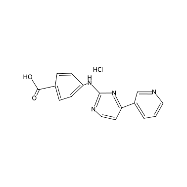 Cl.O=C(O)c1ccc(Nc2nccc(-c3cccnc3)n2)cc1